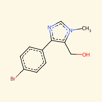 Cn1cnc(-c2ccc(Br)cc2)c1CO